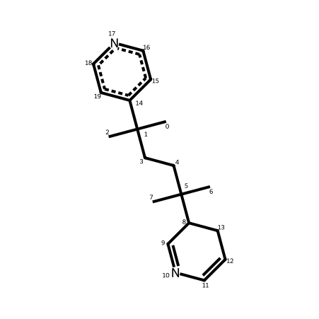 CC(C)(CCC(C)(C)C1C=NC=CC1)c1ccncc1